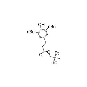 CCCCc1cc(CCC(=O)OCC(C)(CC)CC)cc(CCCC)c1O